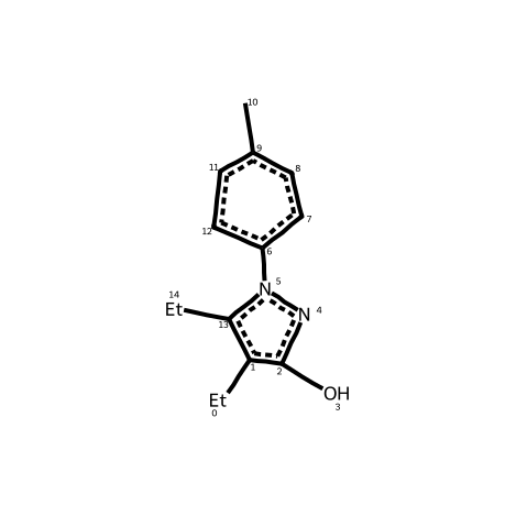 CCc1c(O)nn(-c2ccc(C)cc2)c1CC